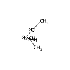 CCCCCCCCCCOC(=O)CCCCCCC1C(=O)CCC1SCC(C)(O)CCCCCCC